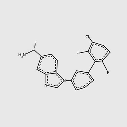 C[C@@H](N)c1ccc2c(c1)ncn2-c1cccc(-c2c(F)ccc(Cl)c2F)c1